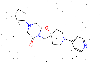 O=C1CN(C2CCCC2)CC2OC3(CCN(c4ccncc4)CC3)CN12